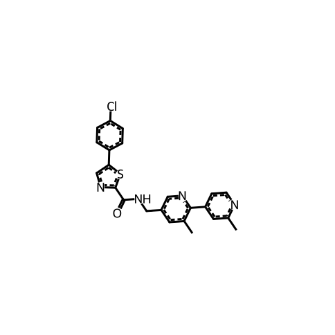 Cc1cc(-c2ncc(CNC(=O)c3ncc(-c4ccc(Cl)cc4)s3)cc2C)ccn1